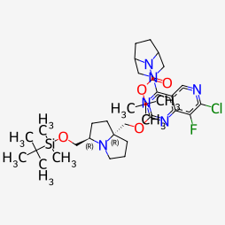 CC(C)(C)OC(=O)N1C2CCC1CN(c1nc(OC[C@]34CCCN3[C@@H](CO[Si](C)(C)C(C)(C)C)CC4)nc3c(F)c(Cl)ncc13)C2